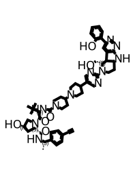 C#Cc1ccc([C@H](C)NC(=O)[C@@H]2C[C@@H](O)CN2C(=O)[C@@H](NC(=O)N2CCC(N3CCC(c4cnc(N5CCC6Nc7nnc(-c8ccccc8O)cc7C6[C@H]5CO)nc4)CC3)CC2)C(C)(C)C)cc1